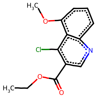 CCOC(=O)c1cnc2cccc(OC)c2c1Cl